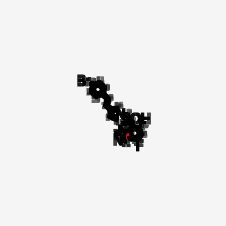 OC(Cn1ccc(C=Cc2ccc(Br)cc2)c1)(Cn1cncn1)c1ccc(F)cc1F